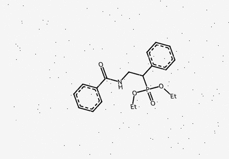 CCOP(=O)(OCC)C(CNC(=O)c1ccccc1)c1ccccc1